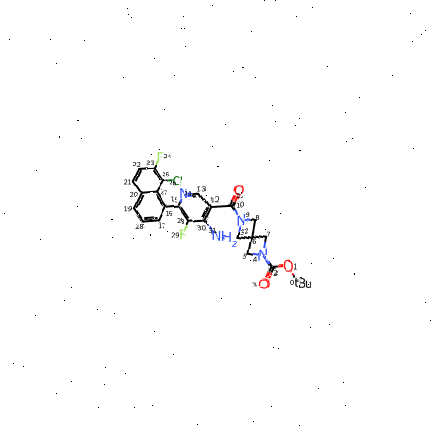 CC(C)(C)OC(=O)N1CC2(C1)CN(C(=O)c1cnc(-c3cccc4ccc(F)c(Cl)c34)c(F)c1N)C2